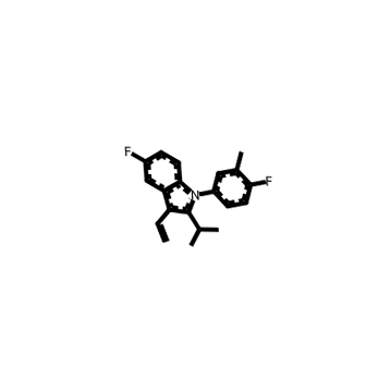 C=Cc1c(C(C)C)n(-c2ccc(F)c(C)c2)c2ccc(F)cc12